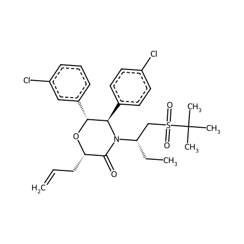 C=CC[C@@H]1O[C@H](c2cccc(Cl)c2)[C@@H](c2ccc(Cl)cc2)N([C@@H](CC)CS(=O)(=O)C(C)(C)C)C1=O